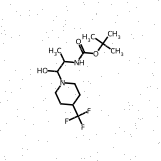 CC(NC(=O)OC(C)(C)C)C(O)N1CCC(C(F)(F)F)CC1